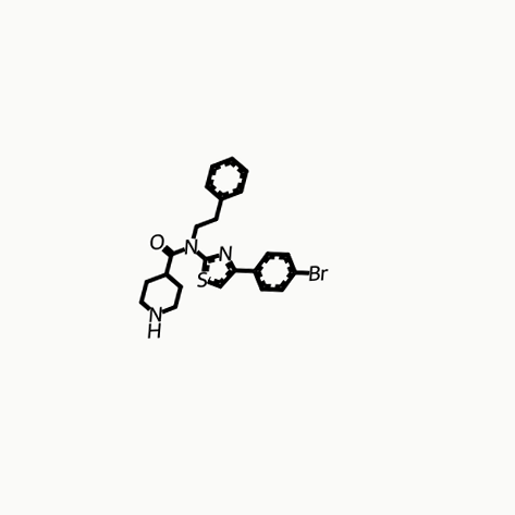 O=C(C1CCNCC1)N(CCc1ccccc1)c1nc(-c2ccc(Br)cc2)cs1